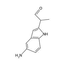 CC(C=O)c1cc2cc(N)ccc2[nH]1